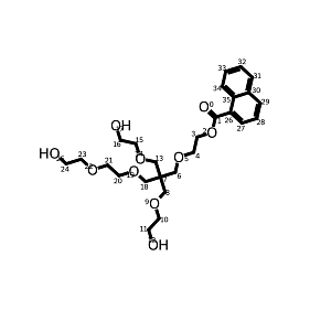 O=C(OCCOCC(COCCO)(COCCO)COCCOCCO)c1cccc2ccccc12